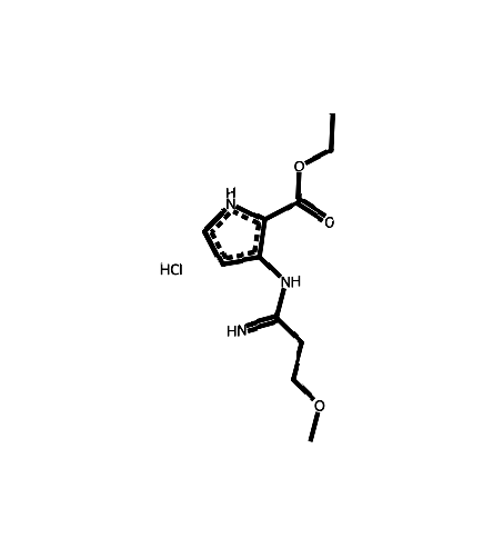 CCOC(=O)c1[nH]ccc1NC(=N)CCOC.Cl